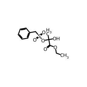 CCOC(=O)C(C)(O)OS(=O)(=O)Cc1ccccc1